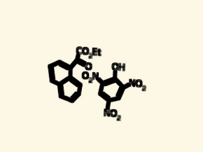 CCOC(=O)C(=O)c1cccc2ccccc12.O=[N+]([O-])c1cc([N+](=O)[O-])c(O)c([N+](=O)[O-])c1